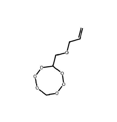 C=CCOCC1OOOCOOO1